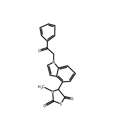 CN1C(=O)SC(=O)C1c1cccc2c1ccn2CC(=O)c1ccccc1